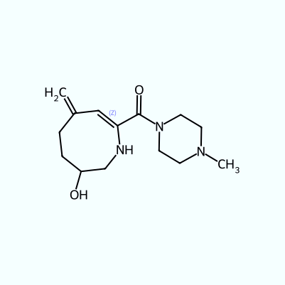 C=C1/C=C(/C(=O)N2CCN(C)CC2)NCC(O)CC1